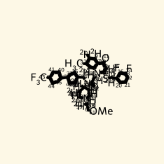 [2H]c1c(C)c([2H])c2c(c1[2H])c(=O)c([2H])c(SC([2H])([2H])c1cccc(F)c1F)n2C([2H])([2H])C(=O)N(Cc1ccc(-c2ccc(C(F)(F)F)cc2)cc1)C1([2H])C([2H])([2H])C([2H])([2H])N(C([2H])([2H])COC)C([2H])([2H])C1([2H])[2H]